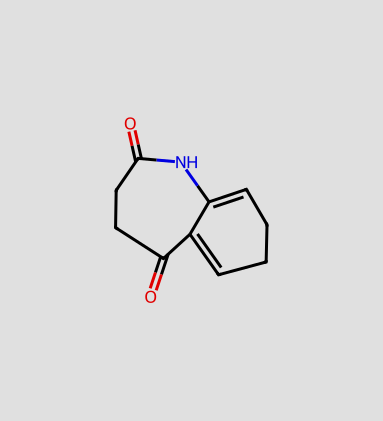 O=C1CCC(=O)C2=CCCC=C2N1